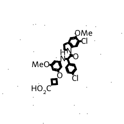 COc1cc(NC(C(=O)N2CCc3cc(OC)c(Cl)cc32)c2ccc(Cl)cc2)cc(O[C@H]2C[C@@H](C(=O)O)C2)c1